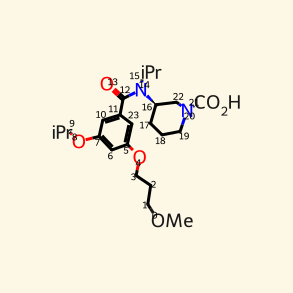 COCCCOc1cc(OC(C)C)cc(C(=O)N(C(C)C)[C@@H]2CCCN(C(=O)O)C2)c1